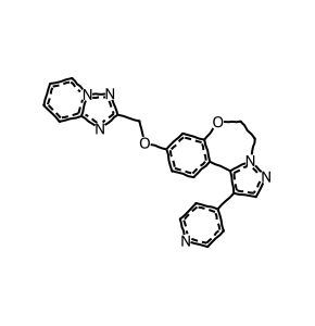 c1ccn2nc(COc3ccc4c(c3)OCCn3ncc(-c5ccncc5)c3-4)nc2c1